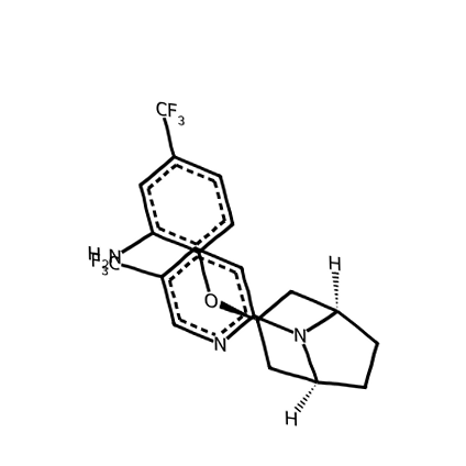 Nc1cc(C(F)(F)F)ccc1O[C@H]1C[C@H]2CC[C@@H](C1)N2c1ccc(C(F)(F)F)cn1